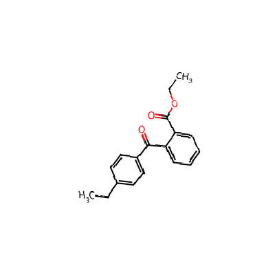 CCOC(=O)c1ccccc1C(=O)c1ccc(CC)cc1